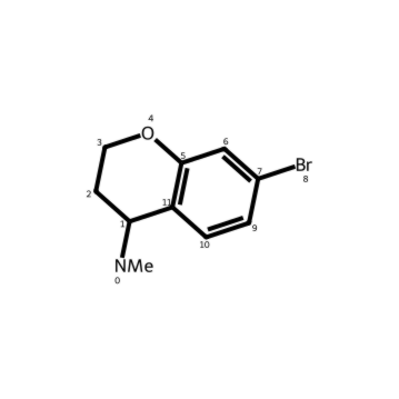 CNC1CCOc2cc(Br)ccc21